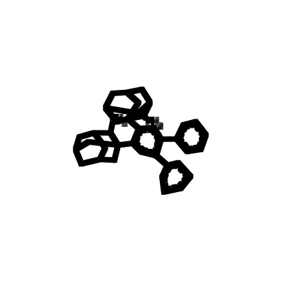 PC1C2CC3CC(C2)CC1(c1cc(-c2ccccc2)c(-c2ccccc2)cc1C12CC4CC(CC(C4)C1P)C2)C3